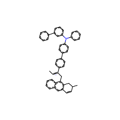 C/C=C(/Cc1c2c(cc3ccccc13)C=CC(C)C2)c1ccc(-c2ccc(N(c3ccccc3)c3cccc(-c4ccccc4)c3)cc2)cc1